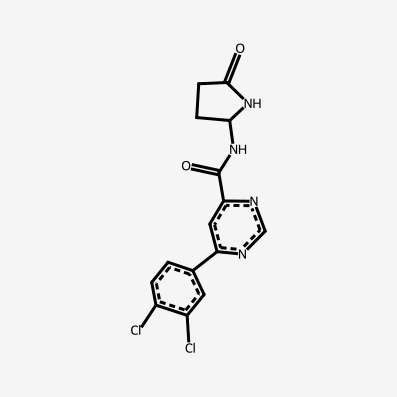 O=C1CCC(NC(=O)c2cc(-c3ccc(Cl)c(Cl)c3)ncn2)N1